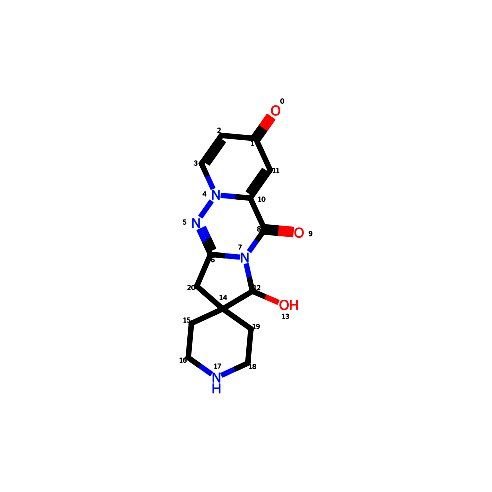 O=c1ccn2nc3n(c(=O)c2c1)C(O)C1(CCNCC1)C3